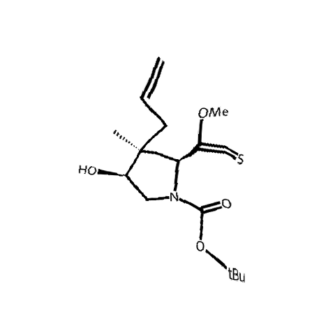 C=CC[C@]1(C)[C@H](O)CN(C(=O)OC(C)(C)C)[C@@H]1C(=S)OC